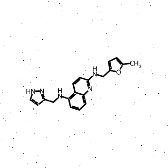 Cc1ccc(CNc2ccc3c(NCc4cc[nH]n4)cccc3n2)o1